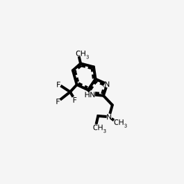 CCN(C)Cc1nc2cc(C)cc(C(F)(F)F)c2[nH]1